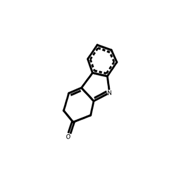 O=C1CC=C2C(=Nc3ccccc32)C1